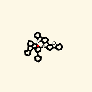 c1ccc(-c2cccc(-n3c4ccc5c6ccccc6oc5c4c4ccc5c6ccccc6n(-c6ccc7c8c(cccc68)-c6ccccc6-7)c5c43)c2)cc1